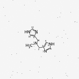 CN(Cc1c[nH]cn1)Cc1c[nH]cn1